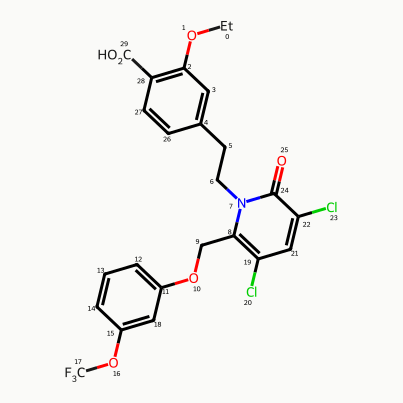 CCOc1cc(CCn2c(COc3cccc(OC(F)(F)F)c3)c(Cl)cc(Cl)c2=O)ccc1C(=O)O